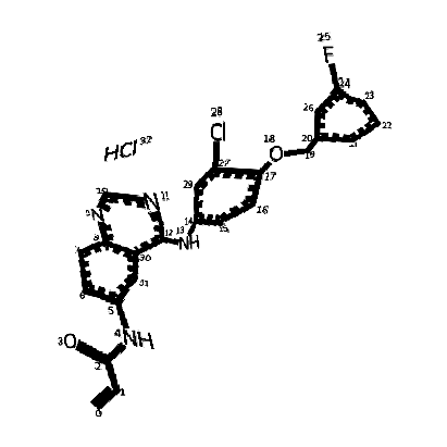 C=CC(=O)Nc1ccc2ncnc(Nc3ccc(OCc4cccc(F)c4)c(Cl)c3)c2c1.Cl